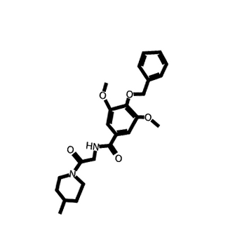 COc1cc(C(=O)NCC(=O)N2CCC(C)CC2)cc(OC)c1OCc1ccccc1